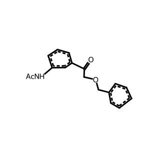 CC(=O)Nc1cccc(C(=O)COCc2ccccc2)c1